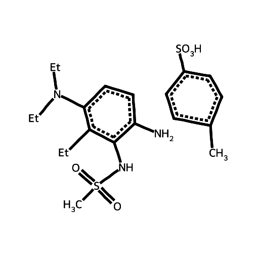 CCc1c(N(CC)CC)ccc(N)c1NS(C)(=O)=O.Cc1ccc(S(=O)(=O)O)cc1